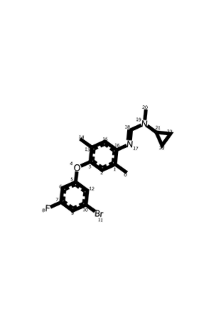 Cc1cc(Oc2cc(F)cc(Br)c2)c(C)cc1N=CN(C)C1CC1